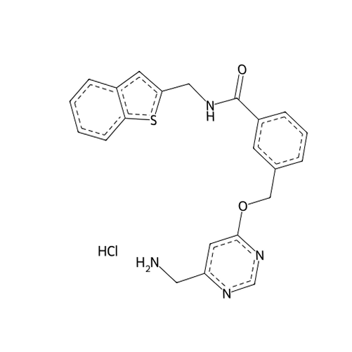 Cl.NCc1cc(OCc2cccc(C(=O)NCc3cc4ccccc4s3)c2)ncn1